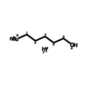 CCCCCCCCCO.[Hf]